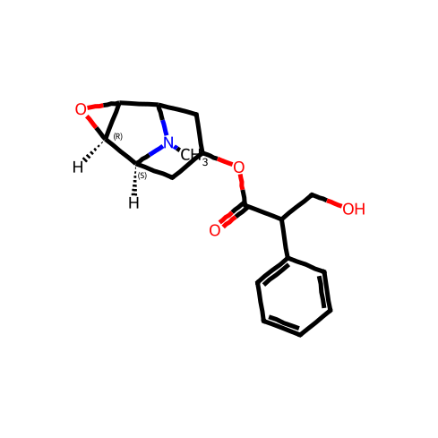 CN1C2CC(OC(=O)C(CO)c3ccccc3)C[C@H]1[C@H]1OC21